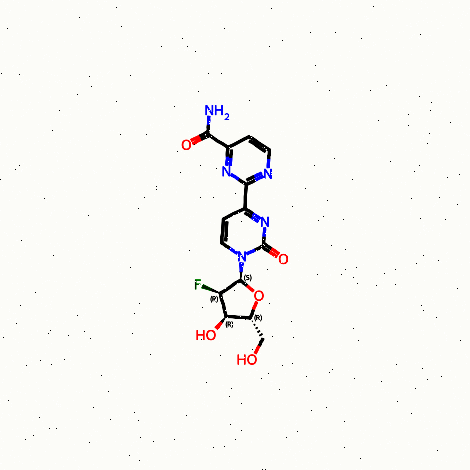 NC(=O)c1ccnc(-c2ccn([C@H]3O[C@H](CO)[C@@H](O)[C@H]3F)c(=O)n2)n1